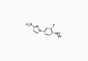 CC(C)Nc1ccc(-n2ccc(N)n2)cc1F